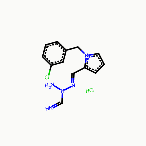 Cl.N=CN(N)N=Cc1cccn1Cc1cccc(Cl)c1